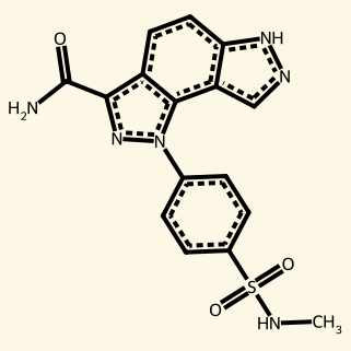 CNS(=O)(=O)c1ccc(-n2nc(C(N)=O)c3ccc4[nH]ncc4c32)cc1